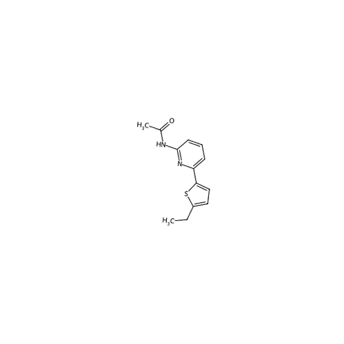 CCc1ccc(-c2cccc(NC(C)=O)n2)s1